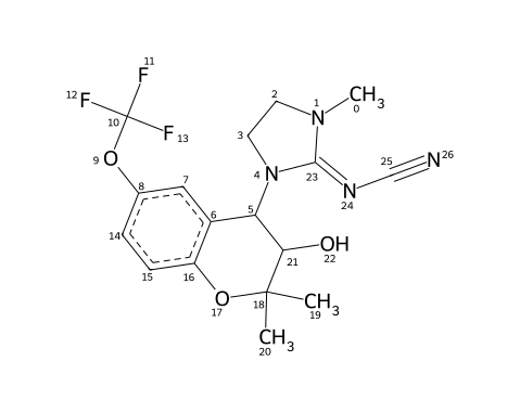 CN1CCN(C2c3cc(OC(F)(F)F)ccc3OC(C)(C)C2O)C1=NC#N